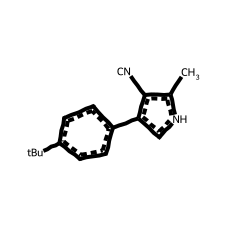 [C-]#[N+]c1c(-c2ccc(C(C)(C)C)cc2)c[nH]c1C